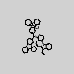 C=Cc1c(/C=C\C)n(-c2cccc(N(c3ccc4c(c3)-c3ccccc3C43C4CCCC3CC(CC)C4)c3ccc4c(c3)C3(CCCC3)c3ccccc3-4)c2)c2ccccc12